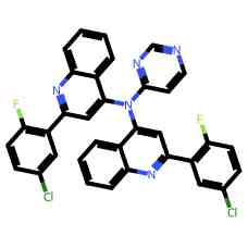 Fc1ccc(Cl)cc1-c1cc(N(c2ccncn2)c2cc(-c3cc(Cl)ccc3F)nc3ccccc23)c2ccccc2n1